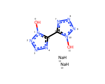 On1nnnc1-c1nnnn1O.[NaH].[NaH]